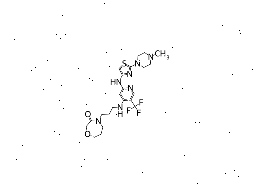 CN1CCN(c2nc(Nc3cc(NCCCN4CCCOCC4=O)c(C(F)(F)F)cn3)cs2)CC1